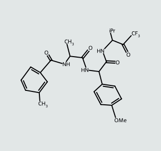 COc1ccc(C(NC(=O)C(C)NC(=O)c2cccc(C)c2)C(=O)NC(C(=O)C(F)(F)F)C(C)C)cc1